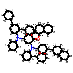 c1ccc(-c2ccc(N(c3ccccc3)c3cc(N(c4ccc(-c5ccc6ccccc6c5)cc4)c4ccccc4-c4ccccc4)c4oc5c6ccccc6ccc5c4c3)c(-c3ccccc3)c2)cc1